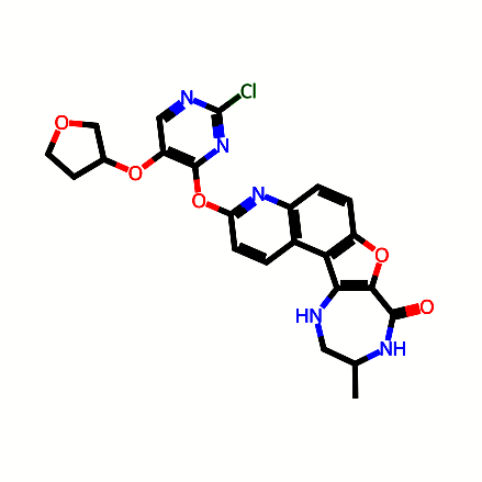 CC1CNc2c(oc3ccc4nc(Oc5nc(Cl)ncc5OC5CCOC5)ccc4c23)C(=O)N1